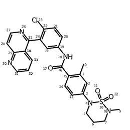 Cc1cc(N2CCCN(C)S2(=O)=O)ccc1C(=O)Nc1ccc(Cl)c(-c2nccc3ncccc23)c1